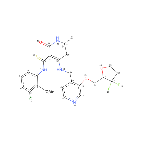 COc1c(Cl)cccc1NC(=S)C1=C(NCc2ccncc2OCC2OCCC2(F)F)C[C@@H](C)NC1=O